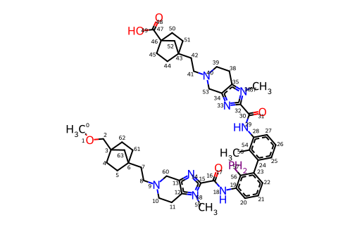 COCC12CCC(CCN3CCc4c(nc(C(=O)Nc5cccc(-c6cccc(NC(=O)c7nc8c(n7C)CCN(CCC79CCC(C(=O)O)(CC7)C9)C8)c6C)c5P)n4C)C3)(CC1)C2